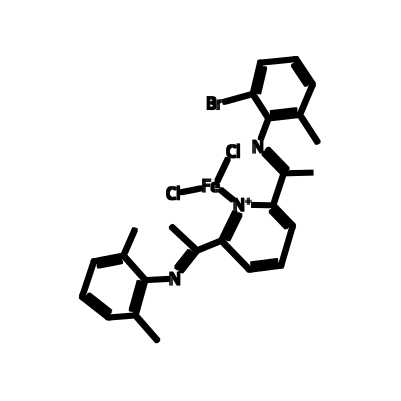 CC(=Nc1c(C)cccc1C)c1cccc(C(C)=Nc2c(C)cccc2Br)[n+]1[Fe]([Cl])[Cl]